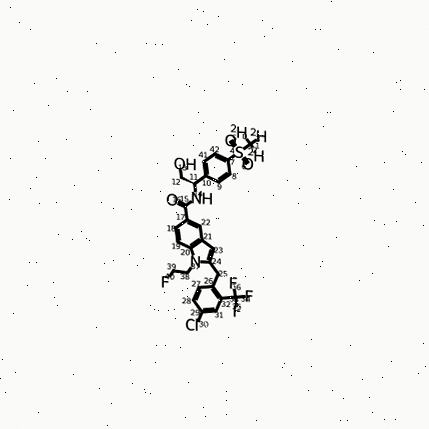 [2H]C([2H])([2H])S(=O)(=O)c1ccc([C@H](CO)NC(=O)c2ccc3c(c2)cc(Cc2ccc(Cl)cc2C(F)(F)F)n3CCF)cc1